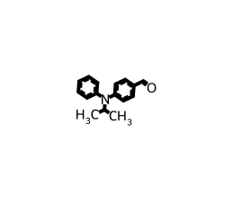 CC(C)N(c1ccccc1)c1ccc(C=O)cc1